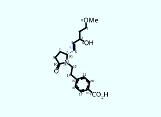 COCCC(O)/C=C/[C@H]1CCC(=O)N1CCc1ccc(C(=O)O)cc1